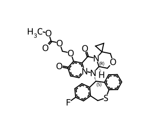 COC(=O)OCOc1c2n(ccc1=O)N([C@H]1c3ccc(F)cc3CSc3ccccc31)[C@@H]1COCC3(CC3)N1C2=O